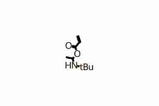 C=CC(=O)OC(C)NC(C)(C)C